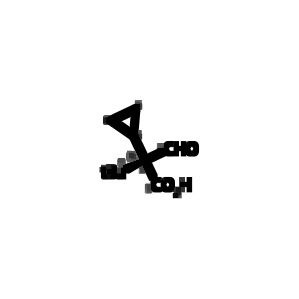 CC(C)(C)[C@@](C=O)(C(=O)O)C1CC1